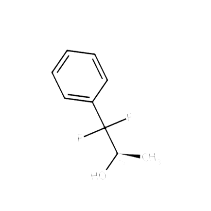 C[C@@H](O)C(F)(F)c1ccccc1